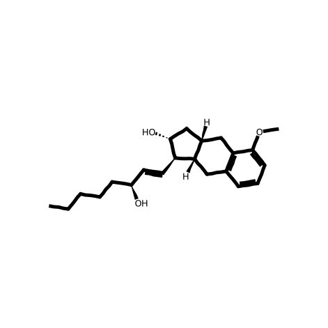 CCCCC[C@H](O)/C=C/[C@@H]1[C@H]2Cc3cccc(OC)c3C[C@H]2C[C@H]1O